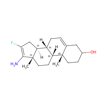 C[C@]12CCC(O)CC1=CC[C@@H]1[C@H]2CC[C@]2(C)C(N)=C(F)C[C@@H]12